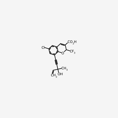 C=CC(C)(O)C#Cc1cc(Cl)cc2c1OC(C(F)(F)F)C(C(=O)O)=C2